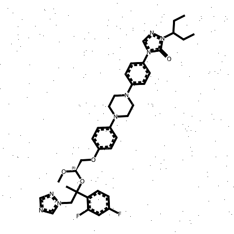 CCC(CC)n1ncn(-c2ccc(N3CCN(c4ccc(OC[C@H](OC)OC(C)(Cn5cncn5)c5ccc(F)cc5F)cc4)CC3)cc2)c1=O